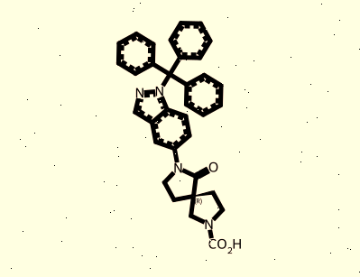 O=C(O)N1CC[C@]2(CCN(c3ccc4c(cnn4C(c4ccccc4)(c4ccccc4)c4ccccc4)c3)C2=O)C1